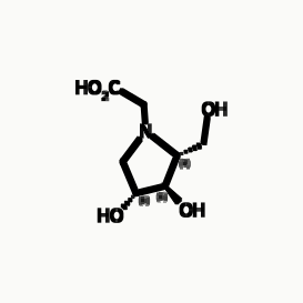 O=C(O)CN1C[C@@H](O)[C@H](O)[C@H]1CO